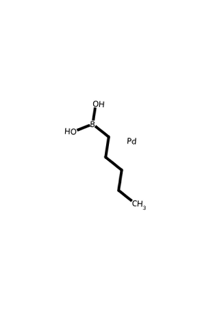 CCCCCB(O)O.[Pd]